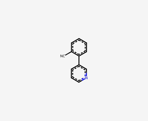 N#Cc1ccccc1-c1cccnc1